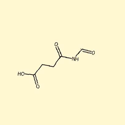 O=[C]NC(=O)CCC(=O)O